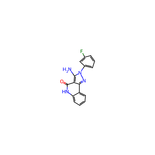 Nc1c2c(=O)[nH]c3ccccc3c2nn1-c1cccc(F)c1